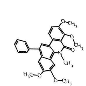 COc1cc2c(-c3ccccc3)cc3c4ccc(OC)c(OC)c4c(=O)n(C)c3c2cc1OC